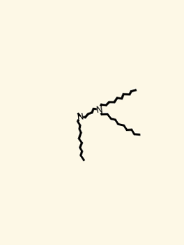 CCCCCCCCCCN(C)CCCCN(CCCCCCCCCC)CCCCCCCCCC